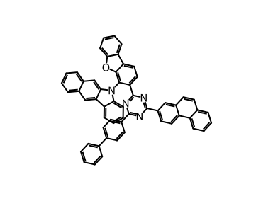 c1ccc(-c2ccc(-c3nc(-c4ccc5c(ccc6ccccc65)c4)nc(-c4ccc5c(oc6ccccc65)c4-n4c5ccccc5c5cc6ccccc6cc54)n3)cc2)cc1